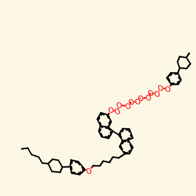 CCCCCC1CCC(c2ccc(OCCCCCCc3ccc4cccc(-c5cccc6ccc(OOOOOOOOOOOOc7ccc(C8CCC(C)CC8)cc7)cc56)c4c3)cc2)CC1